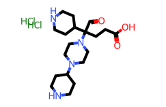 Cl.Cl.O=CC(CCC(=O)O)(C1CCNCC1)N1CCN(C2CCNCC2)CC1